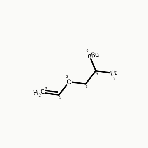 C=COCC(CC)CCCC